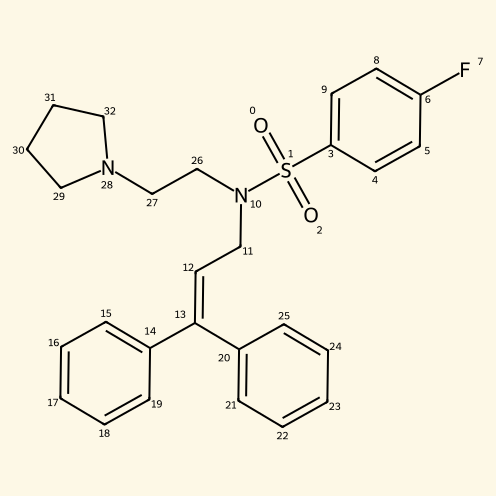 O=S(=O)(c1ccc(F)cc1)N(CC=C(c1ccccc1)c1ccccc1)CCN1CCCC1